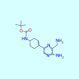 CC(C)(C)OC(=O)NC1CC=C(c2cnc(N)c(CN)n2)CC1